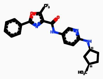 O=C(Nc1ccc(N[C@H]2CC[C@@H](C(=O)O)C2)nc1)c1nc(-c2ccccc2)oc1C(F)(F)F